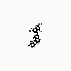 CN1CCC(Nc2ccc3c(c2O)C(=O)CC(CC(CCO)C(CO)C(=O)CC(N)=O)C3)CC1